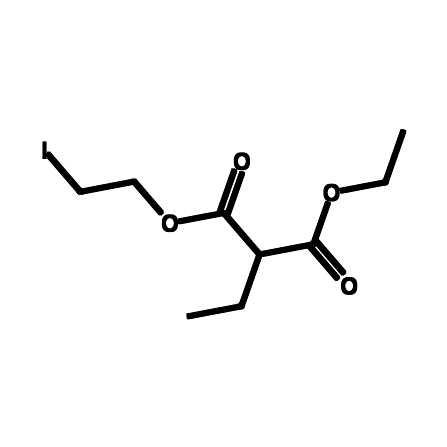 CCOC(=O)C(CC)C(=O)OCCI